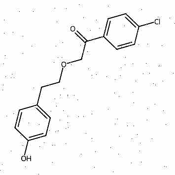 O=C(COCCc1ccc(O)cc1)c1ccc(Cl)cc1